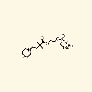 CC(C)(C)CP(=O)(OCCOC(=O)C(C)(C)CCN1CCOCC1)OC(C)(C)C